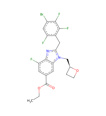 CCOC(=O)c1cc(F)c2nc(Cc3c(F)cc(Br)c(F)c3F)n(C[C@@H]3CCO3)c2c1